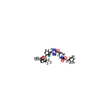 CC(C)(C)[Si](C)(C)OCc1cccc(-c2cnc(OC3CCN(C(=O)OCc4ccccc4)CC3)nc2)c1F